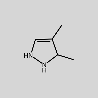 CC1=CNNC1C